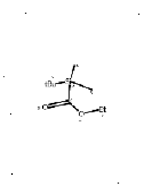 CCOC(=O)[Si](C)(C)C(C)(C)C